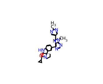 Cc1ncc(-c2nc3c(-c4ccc5c(c4)[C@]4(CCCN4C(=O)C4CC4)C(=O)N5)ncnc3n2C)cn1